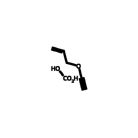 C#COCC=C.O=C(O)O